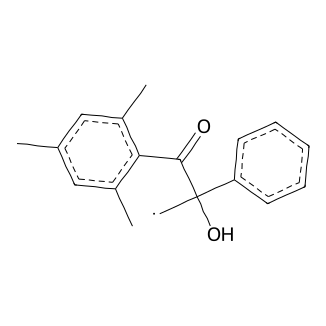 [CH2]C(O)(C(=O)c1c(C)cc(C)cc1C)c1ccccc1